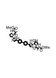 COC(=O)N[C@@H](C)C(=O)N1CC[C@H](O)[C@H]1c1ncc(-c2ccc(-c3ccc(-c4cnc([C@@H]5CCCN5C(=O)[C@H](C)NC(=O)OC)[nH]4)cc3)cc2)[nH]1